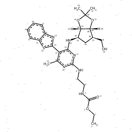 CCOC(=O)NCCNc1nc(C)c(-c2nc3ccccc3s2)c(N[C@@H]2C[C@H](CO)[C@H]3OC(C)(C)O[C@H]32)n1